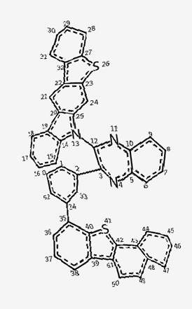 c1cc(-c2nc3ccccc3nc2-n2c3ccccc3c3cc4c(cc32)sc2ccccc24)cc(-c2cccc3c2sc2c4ccccc4ccc32)c1